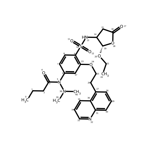 CCCC(=O)N(c1ccc(S(=O)(=O)NC2CC(=O)O[C@@H]2OCC)c(OCCc2cccc3ncccc23)c1)N(C)C